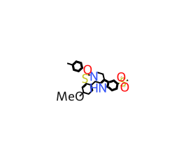 COC1C=CC(C2c3[nH]c4ccc(S(C)(=O)=O)cc4c3CCN2C(=S)Oc2ccc(C)cc2)=CC1